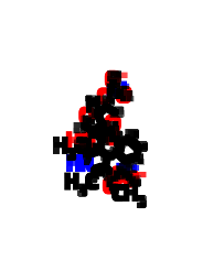 COC(=O)C1=C(C)NC(C)=C(C(=O)[C@@]2(O)CO[C@@H]3[C@@H](O[N+](=O)[O-])CO[C@@H]32)C1c1ccccc1[N+](=O)[O-]